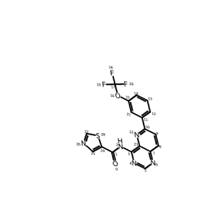 O=C(Nc1ncnc2ccc(-c3cccc(OC(F)(F)F)c3)nc12)c1cncs1